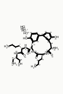 Cl.Cl.Cl.Cl.NCCC[C@H](NC(=O)[C@@H]1Cc2cc(ccc2O)-c2ccc(O)c(c2)C[C@H](N)C(=O)N[C@@H](CCCN)C(=O)N1)C(=O)N[C@@H](CN)CO